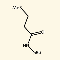 CCCCNC(=O)CCSC